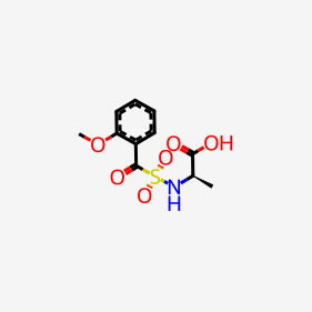 COc1ccccc1C(=O)S(=O)(=O)N[C@H](C)C(=O)O